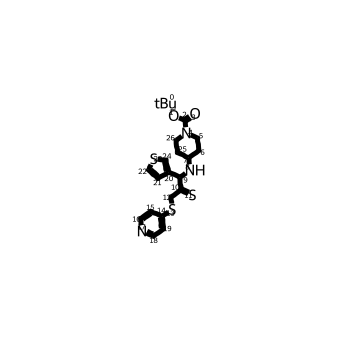 CC(C)(C)OC(=O)N1CCC(NC(C(=S)CSc2ccncc2)c2ccsc2)CC1